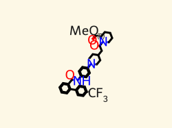 COC(=O)[C@H]1CCCCN1C(=O)CC1CCN(c2ccc(NC(=O)c3ccccc3-c3ccc(C(F)(F)F)cc3)cc2)CC1